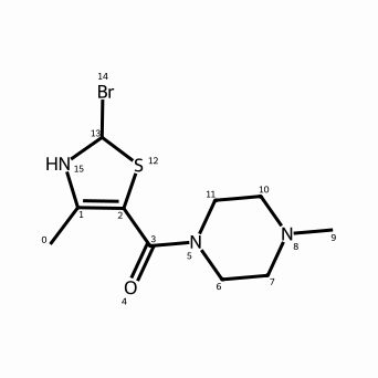 CC1=C(C(=O)N2CCN(C)CC2)SC(Br)N1